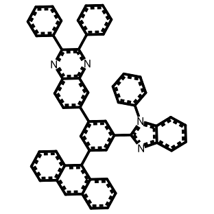 c1ccc(-c2nc3ccc(-c4cc(-c5c6ccccc6cc6ccccc56)cc(-c5nc6ccccc6n5-c5ccccc5)c4)cc3nc2-c2ccccc2)cc1